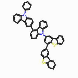 c1ccc(-n2c3ccccc3c3cc(-c4cccc5c4c4ccccc4n5-c4cc(-c5ccc6sc7ccccc7c6c5)c5sc6ccccc6c5c4)ccc32)cc1